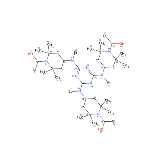 CCC(O)N1C(C)(C)CC(N(CC)c2nc(N(CC)C3CC(C)(C)N(C(O)CC)C(C)(C)C3)nc(N(CC)C3CC(C)(C)N(C(O)CC)C(C)(C)C3)n2)CC1(C)C